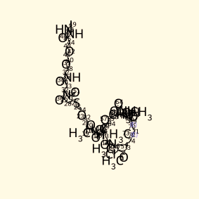 COc1cc2cc(c1Cl)N(C)C(=O)C[C@H](OC(=O)[C@H](C)OCCOCCSC1CC(=O)N(CCC(=O)NCCOCCOCCC(=O)NNI)C1=O)[C@@]1(C)CC(C)(O1)C1C[C@@](O)(NC(=O)O1)[C@H](OC)/C=C/C=C(\C)C2